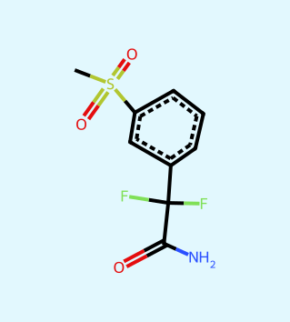 CS(=O)(=O)c1cccc(C(F)(F)C(N)=O)c1